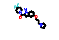 O=C(c1cc2cc(OCCCN3CC=CC3)ccc2[nH]1)N1CCC(F)(F)CC1